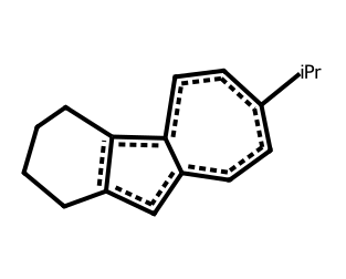 CC(C)c1ccc2cc3c(c-2cc1)CCCC3